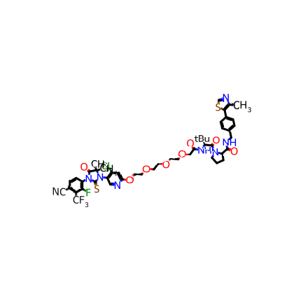 Cc1ncsc1-c1ccc(CNC(=O)C2CCCN2C(=O)[C@@H](NC(=O)COCCOCCOCCOc2cc(Cl)c(N3C(=S)N(c4ccc(C#N)c(C(F)(F)F)c4F)C(=O)C3(C)C)cn2)C(C)(C)C)cc1